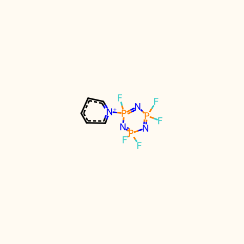 FP1(F)=NP(F)(F)=NP(F)([n+]2ccccc2)=N1